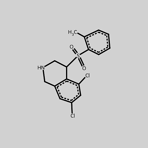 Cc1ccccc1S(=O)(=O)C1CNCc2cc(Cl)cc(Cl)c21